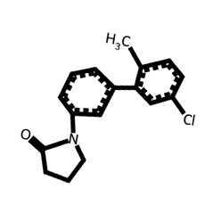 Cc1ccc(Cl)cc1-c1cccc(N2CCCC2=O)c1